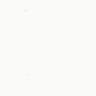 O.O=[N+]([O-])c1ccc(OP(=O)([O-])Oc2ccc([N+](=O)O)cc2)cc1